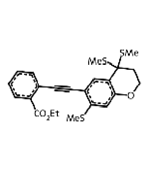 CCOC(=O)c1ccccc1C#Cc1cc2c(cc1SC)OCCC2(SC)SC